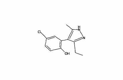 CCc1n[nH]c(C)c1-c1cc(Cl)ccc1O